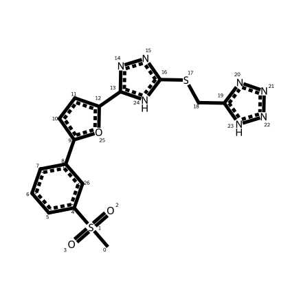 CS(=O)(=O)c1cccc(-c2ccc(-c3nnc(SCc4nnn[nH]4)[nH]3)o2)c1